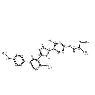 CCC(C)Sc1ccc(-c2cnc(N)c(-c3nnc(-c4ccc(CNC(C)CF)cc4F)o3)n2)cc1